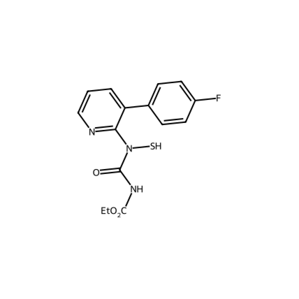 CCOC(=O)NC(=O)N(S)c1ncccc1-c1ccc(F)cc1